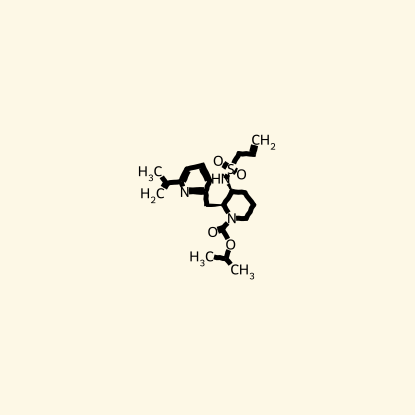 C=CCS(=O)(=O)N[C@H]1CCCN(C(=O)OC(C)C)[C@H]1Cc1cccc(C(=C)C)n1